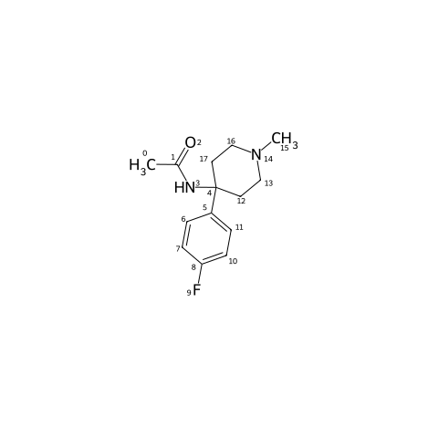 CC(=O)NC1(c2ccc(F)cc2)CCN(C)CC1